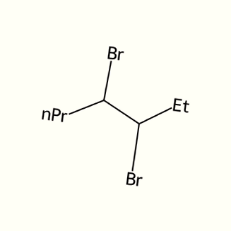 CCCC(Br)C(Br)CC